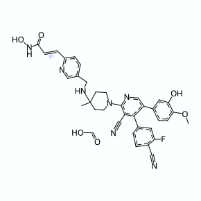 COc1ccc(-c2cnc(N3CCC(C)(NCc4ccc(/C=C/C(=O)NO)nc4)CC3)c(C#N)c2-c2ccc(C#N)c(F)c2)cc1O.O=CO